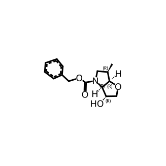 C[C@@H]1CN(C(=O)OCc2ccccc2)[C@H]2[C@@H]1OC[C@@H]2O